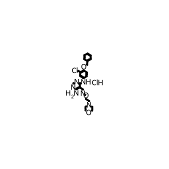 Cl.Nc1ncnc(Nc2ccc(OCc3ccccc3)c(Cl)c2)c1/C=N/OCCN1CCOCC1